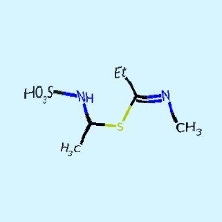 CC/C(=N/C)SC(C)NS(=O)(=O)O